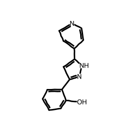 Oc1ccccc1-c1cc(-c2ccncc2)[nH]n1